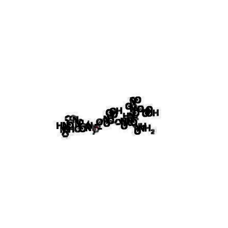 Cc1c(-c2ccc(N3CCc4cccc(C(=O)Nc5nc6ccccc6s5)c4C3)nc2C(=O)O)cnn1CC12CC3(C)CC(C)(C1)CC(OCCN(CCS(=O)(=O)O)C(=O)OCc1ccc(NC(=O)[C@H](CCCNC(N)=O)NC(=O)[C@@H](NC(=O)CN4C(=O)C(N5CC=CC5=O)C[C@H]4COCCS(=O)(=O)O)C(C)C)cc1)(C3)C2